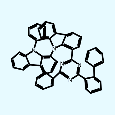 c1ccc(-c2nc(-c3ccccc3-c3ccccc3)nc(-c3cccc4c5ccccc5n(-c5cccc6c7ccccc7n(-c7ccccc7)c56)c34)n2)cc1